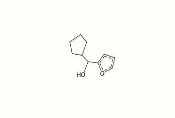 OC(c1ccco1)C1CCCC1